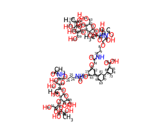 CC(=O)N[C@@H](O)C(OCCCNC(=O)COc1cc(OCC(=O)NCCCOC(OC(CO)[C@H](C)OC2OC(CO)C(O)C(OC(OC(CO)[C@@H](C)O)[C@@H](O)CO)C2O)[C@H](O)NC(C)=O)cc(-c2cccc(-c3cccc(C(=O)O)c3)c2)c1)OC(CO)[C@H](C)OC1OC(CO)C(O)C(OC(OC(CO)[C@@H](C)O)[C@@H](O)CO)C1O